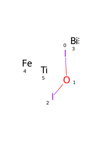 IOI.[Bi].[Fe].[Ti]